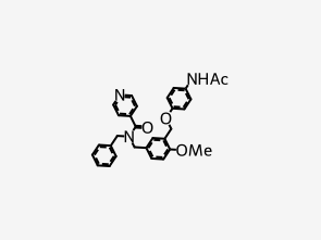 COc1ccc(CN(Cc2ccccc2)C(=O)c2ccncc2)cc1COc1ccc(NC(C)=O)cc1